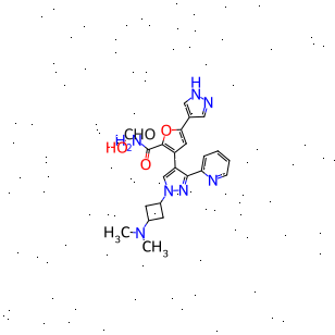 CN(C)C1CC(n2cc(-c3cc(-c4cn[nH]c4)oc3C(N)=O)c(-c3ccccn3)n2)C1.O=CO